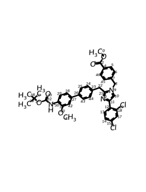 COC(=O)c1ccc(Cn2cc(-c3ccc(Cl)cc3Cl)nc2Cc2ccc(-c3ccc(NC(=O)OC(C)(C)C)c(OC)c3)cc2)cc1